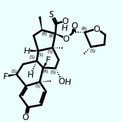 C[C@@H]1C[C@H]2[C@@H]3C[C@H](F)C4=CC(=O)C=C[C@]4(C)[C@@]3(F)[C@@H](O)C[C@]2(C)[C@@]1(OC(=O)[C@@H]1OCC[C@@H]1C)C(O)=S